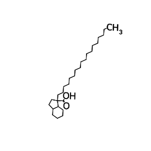 CCCCCCCCCCCCCCCCCCC1(C(=O)O)CCC2CCCCC21